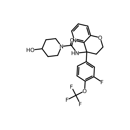 O=C(NC1(c2ccc(OC(F)(F)F)c(F)c2)CCOc2cccnc21)N1CCC(O)CC1